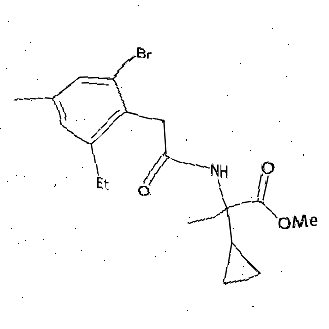 CCc1cc(C)cc(Br)c1CC(=O)NC(C)(C(=O)OC)C1CC1